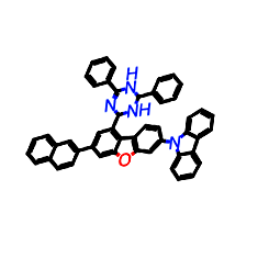 c1ccc(C2=NC(c3cc(-c4ccc5ccccc5c4)cc4oc5cc(-n6c7ccccc7c7ccccc76)ccc5c34)NC(c3ccccc3)N2)cc1